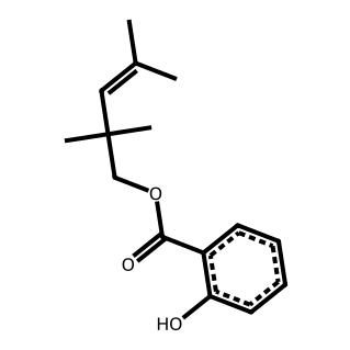 CC(C)=CC(C)(C)COC(=O)c1ccccc1O